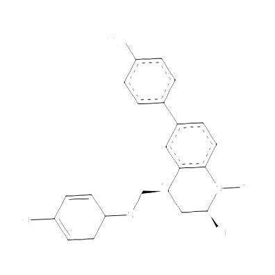 CC(=O)N1c2ccc(-c3ccc(C(=O)O)cc3)cc2[C@H](CNC2C=CC(Cl)=CC2)C[C@@H]1C